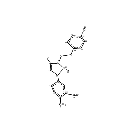 COc1ccc(C2C=C(C)N(CCc3ccc(Cl)cc3)N2C)cc1OC